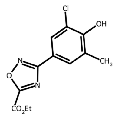 CCOC(=O)c1nc(-c2cc(C)c(O)c(Cl)c2)no1